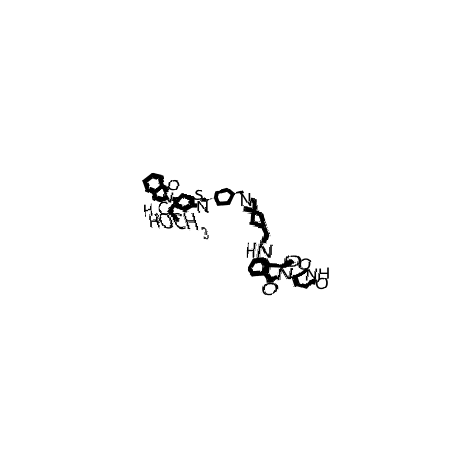 CC(C)(O)c1cc2nc([C@H]3CC[C@H](CN4CC5(CC(CCNc6cccc7c6C(=O)N(C6CCC(=O)NC6=O)C7=O)C5)C4)CC3)sc2cc1-n1ccc2ccccc2c1=O